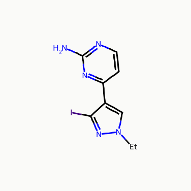 CCn1cc(-c2ccnc(N)n2)c(I)n1